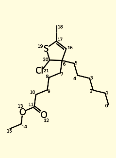 CCCCCCC1(CCCCC(=O)OCC)C=C(I)SC1Cl